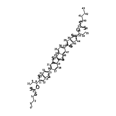 CCCCSC(=S)OC(CC)c1cc2sc(-c3ccc4c(c3)sc3c5ccc(-c6cc7sc(C(CC)OC(=S)SCCCC)cc7s6)cc5sc43)cc2s1